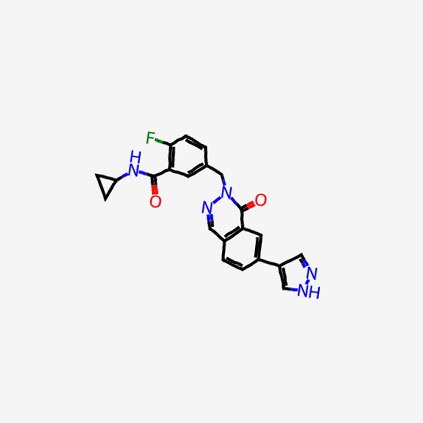 O=C(NC1CC1)c1cc(Cn2ncc3ccc(-c4cn[nH]c4)cc3c2=O)ccc1F